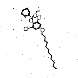 CCCCCCCCCCCCOc1cc(Cl)c(ON(OCC)c2ccccc2)c(Cl)c1